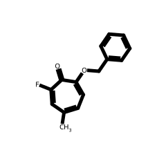 Cc1ccc(OCc2ccccc2)c(=O)c(F)c1